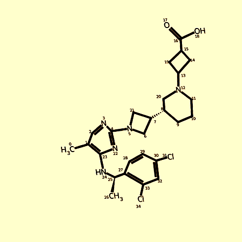 Cc1cnc(N2CC([C@H]3CCCN(C4CC(C(=O)O)C4)C3)C2)nc1N[C@H](C)c1ccc(Cl)cc1Cl